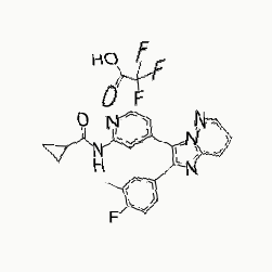 Cc1cc(-c2nc3cccnn3c2-c2ccnc(NC(=O)C3CC3)c2)ccc1F.O=C(O)C(F)(F)F